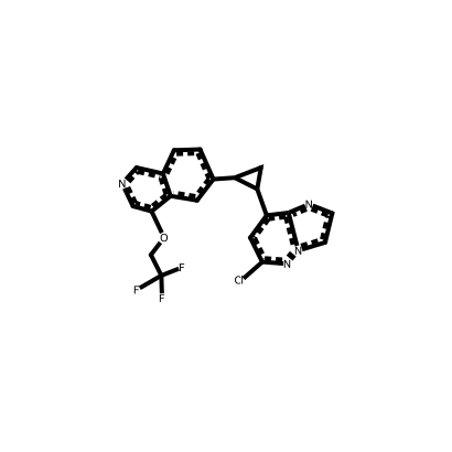 FC(F)(F)COc1cncc2ccc(C3CC3c3cc(Cl)nn4ccnc34)cc12